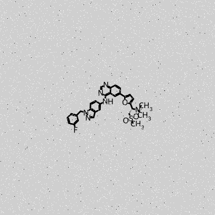 CN(C)[C@H](CS(C)(=O)=O)c1ccc(-c2ccc3ncnc(Nc4ccc5c(cnn5Cc5cccc(F)c5)c4)c3c2)o1